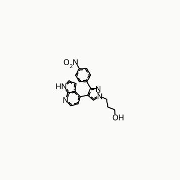 O=[N+]([O-])c1ccc(-c2nn(CCCO)cc2-c2ccnc3[nH]ccc23)cc1